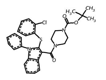 CC(C)(C)OC(=O)N1CCN(C(=O)c2c(Sc3ccccc3Cl)n(-c3ccccc3)c3ccccc23)CC1